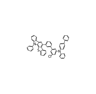 Clc1cc(-c2cccc(-c3cc4c5ccccc5n(-c5ccccc5)c4c4sc5ccccc5c34)c2)cc(N(c2ccccc2)c2ccc(-c3ccccc3)cc2)c1